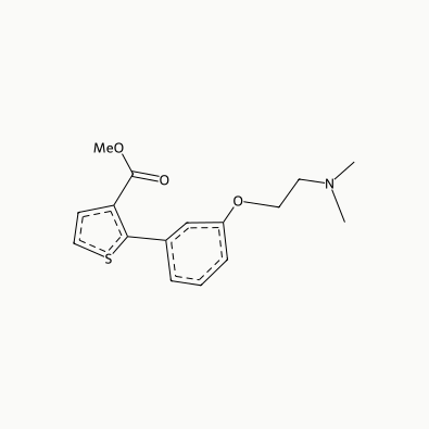 COC(=O)c1ccsc1-c1cccc(OCCN(C)C)c1